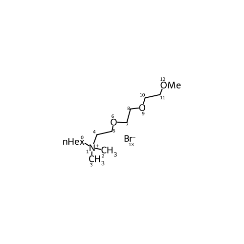 CCCCCC[N+](C)(C)CCOCCOCCOC.[Br-]